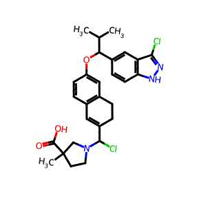 CC(C)C(Oc1ccc2c(c1)CCC(C(Cl)N1CCC(C)(C(=O)O)C1)=C2)c1ccc2[nH]nc(Cl)c2c1